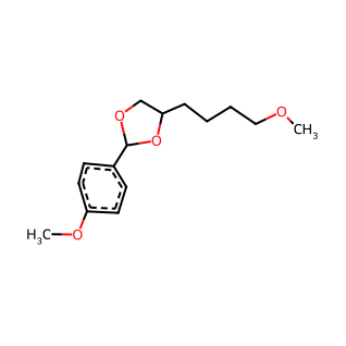 COCCCCC1COC(c2ccc(OC)cc2)O1